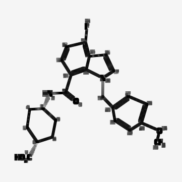 O=C(N[C@H]1CC[C@@H](C(=O)O)CC1)c1ccc(F)c2ccn(Cc3ccc(OC(F)(F)F)cc3)c12